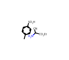 CCOC(=O)C(N)C#N.Cc1ccc(S(=O)(=O)O)cc1